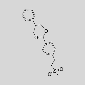 CS(=O)(=O)CCc1ccc(C2OCC(c3ccccc3)CO2)cc1